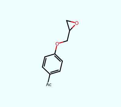 CC(=O)c1ccc(OCC2CO2)cc1